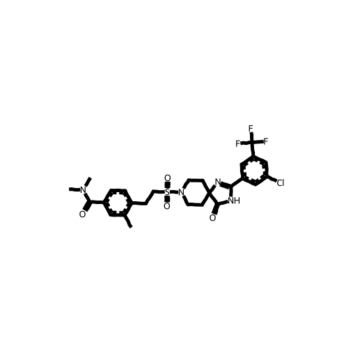 Cc1cc(C(=O)N(C)C)ccc1CCS(=O)(=O)N1CCC2(CC1)N=C(c1cc(Cl)cc(C(F)(F)F)c1)NC2=O